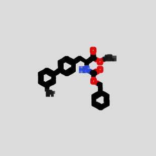 CC(C)c1cccc(-c2ccc(C[C@H](NC(=O)OCc3ccccc3)C(=O)OC(C)(C)C)cc2)c1